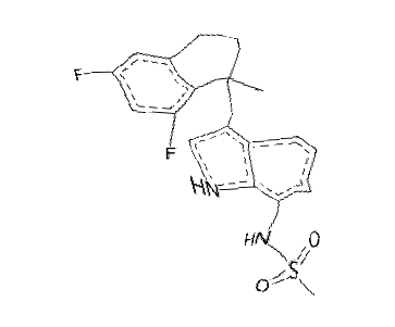 CC1(c2c[nH]c3c(NS(C)(=O)=O)cccc23)CCc2cc(F)cc(F)c21